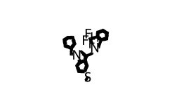 CSc1ccc2c(c1)c(CNCc1ccccc1C(F)(F)F)cn2Cc1ccccc1